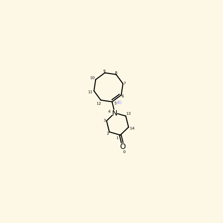 O=C1CCN(/C2=C/CCCCCC2)CC1